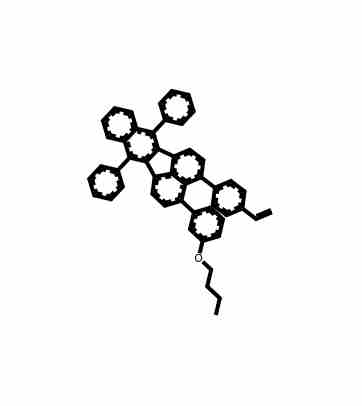 C=Cc1ccc(-c2ccc3c4c(ccc(-c5cccc(OCCCC)c5)c24)-c2c-3c(-c3ccccc3)c3ccccc3c2-c2ccccc2)cc1